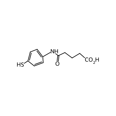 O=C(O)CCCC(=O)Nc1ccc(S)cc1